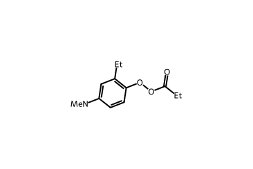 CCC(=O)OOc1ccc(NC)cc1CC